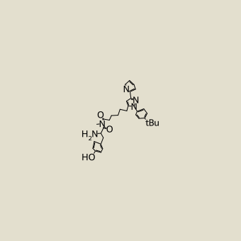 CN(C(=O)CCCCCc1cc(-c2ccccn2)nn1-c1ccc(C(C)(C)C)cc1)C(=O)C(N)Cc1ccc(O)cc1